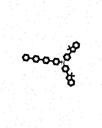 CC1(C)C(c2ccc(N(c3ccc(C4=Cc5ccccc5C4(C)C)cc3)c3ccc(-c4ccc(-c5ccc(-c6ccccc6)cc5)cc4)cc3)cc2)=Cc2ccccc21